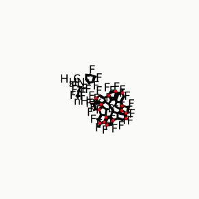 CCCCCCC(F)(F)C(F)(F)C(F)(F)[NH+](C)c1cc(F)c(F)c(F)c1F.Fc1cc2c(c(F)c1F)-c1c(F)c(F)c(F)c(F)c1C2[B-](C1c2cc(F)c(F)c(F)c2-c2c(F)c(F)c(F)c(F)c21)(C1c2cc(F)c(F)c(F)c2-c2c(F)c(F)c(F)c(F)c21)C1c2cc(F)c(F)c(F)c2-c2c(F)c(F)c(F)c(F)c21